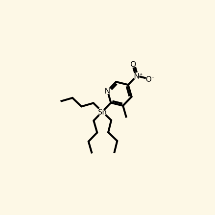 CCC[CH2][Sn]([CH2]CCC)([CH2]CCC)[c]1ncc([N+](=O)[O-])cc1C